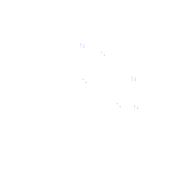 C1=NC(=C2N=CN=N2)N=N1.c1ccc(-c2ccccc2)cc1